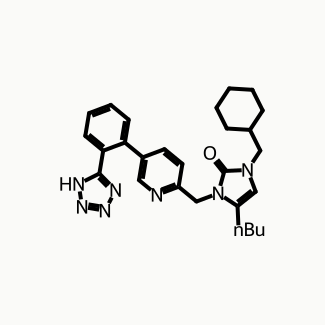 CCCCc1cn(CC2CCCCC2)c(=O)n1Cc1ccc(-c2ccccc2-c2nnn[nH]2)cn1